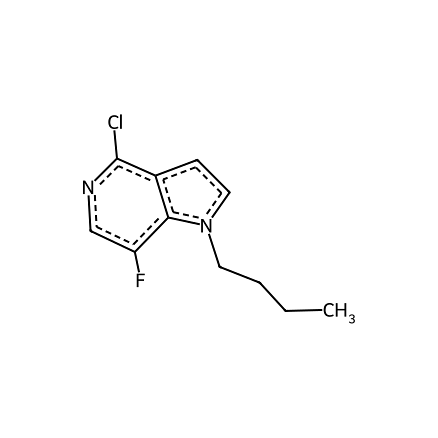 CCCCn1ccc2c(Cl)ncc(F)c21